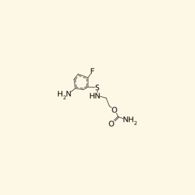 NC(=O)OCCNSc1cc(N)ccc1F